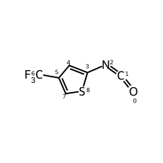 O=C=Nc1cc(C(F)(F)F)cs1